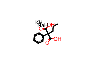 CCCC(C(=O)O)(C(=O)O)c1ccccc1.[KH].[NaH]